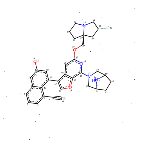 C#Cc1cccc2cc(O)cc(-c3coc4c(N5CC6CCC(C5)N6)nc(OC[C@@]56CCCN5C[C@H](F)C6)cc34)c12